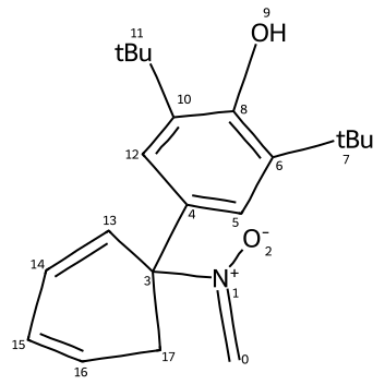 C=[N+]([O-])C1(c2cc(C(C)(C)C)c(O)c(C(C)(C)C)c2)C=CC=CC1